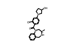 C[C@@H]1CN(C(=O)c2ccc(N3CCC(O)C3)cc2Cl)c2ccccc2CN1